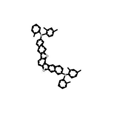 Cc1ccc(N(c2ccc3cc4c(cc3c2)oc2c4ccc3oc4cc5cc(N(c6ccccc6C)c6ccc(C)cc6C)ccc5cc4c32)c2ccccc2C)c(C)c1